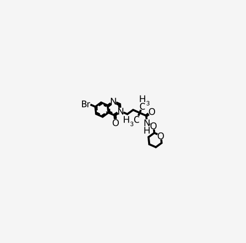 CC(C)(CCn1cnc2cc(Br)ccc2c1=O)C(=O)NOC1CCCCO1